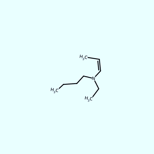 C/C=C\N(CC)CCCC